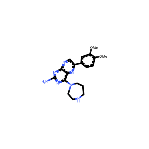 COc1ccc(-c2cnc3nc(N)nc(N4CCCNCC4)c3n2)cc1OC